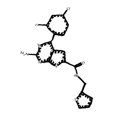 Nc1nc(-c2ccc(Cl)cc2Cl)c2cc(C(=O)NCc3cccs3)sc2n1